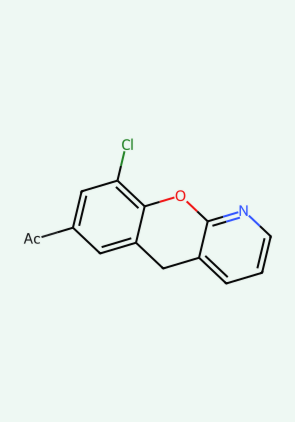 CC(=O)c1cc(Cl)c2c(c1)Cc1cccnc1O2